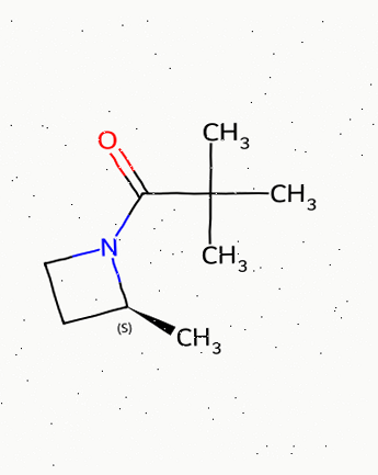 C[C@H]1CCN1C(=O)C(C)(C)C